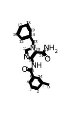 Cc1cccc(C(=O)Nc2ncn(Cc3ccccc3)c2C(N)=O)c1